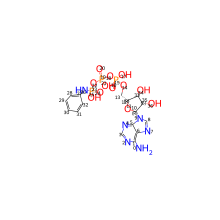 Nc1ncnc2c1ncn2[C@@H]1O[C@H](COP(=O)(O)OP(=O)(O)OP(=O)(O)Nc2ccccc2)C(O)[C@@H]1O